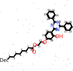 CCCCCCCCCCCCCCCCCC(=O)OCCOc1ccc(-c2nc(-c3ccccc3)nc(-c3ccccc3)n2)c(O)c1